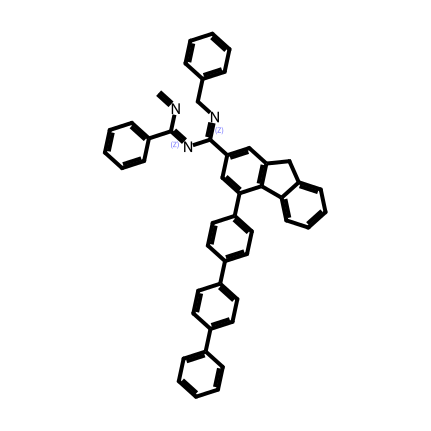 C=N/C(=N\C(=N/Cc1ccccc1)c1cc2c(c(-c3ccc(-c4ccc(-c5ccccc5)cc4)cc3)c1)-c1ccccc1C2)c1ccccc1